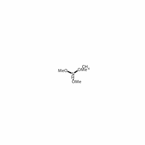 C.CO[SiH](OC)OC